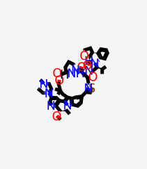 CCn1c(-c2cc(N3CCN(C)CC3)cnc2[C@H](C)OC)c2c3cc(ccc31)-c1csc(n1)C[C@H](NC(=O)[C@H](C(C)C)N(C)C(=O)[C@@H]1OCC[C@@H]1c1ccccc1)C(=O)N1CCC[C@H](N1)C(=O)OCC(C)(C)C2